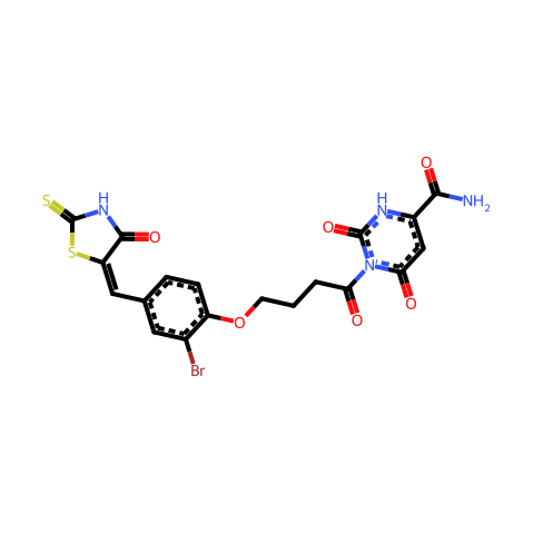 NC(=O)c1cc(=O)n(C(=O)CCCOc2ccc(C=C3SC(=S)NC3=O)cc2Br)c(=O)[nH]1